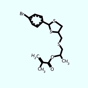 C=C(C)C(=O)OC(C)CSCC1CSC(c2ccc(Br)cc2)S1